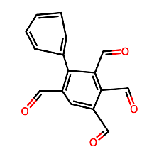 O=Cc1cc(C=O)c(-c2ccccc2)c(C=O)c1C=O